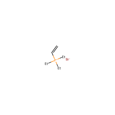 C=C[P+](CC)(CC)CC.[Br-]